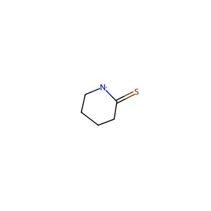 S=C1CCCC[N]1